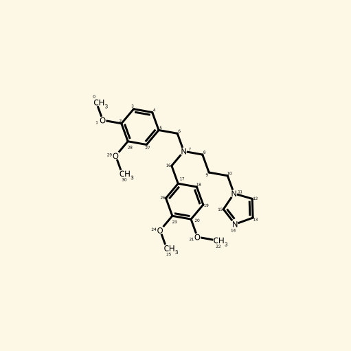 COc1ccc(CN(CCCn2ccnc2)Cc2ccc(OC)c(OC)c2)cc1OC